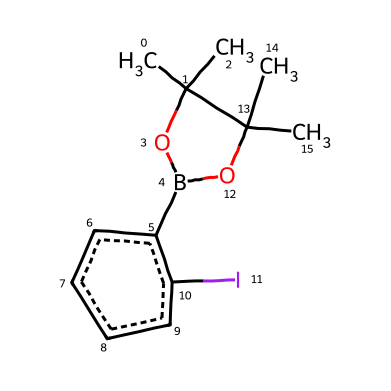 CC1(C)OB(c2ccccc2I)OC1(C)C